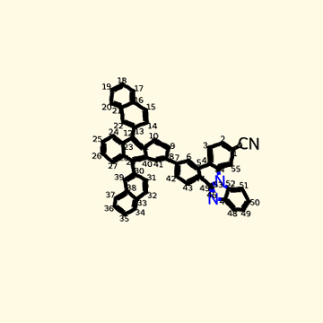 N#Cc1ccc2c3cc(-c4ccc5c(-c6ccc7ccccc7c6)c6ccccc6c(-c6ccc7ccccc7c6)c5c4)ccc3c3nc4ccccc4n3c2c1